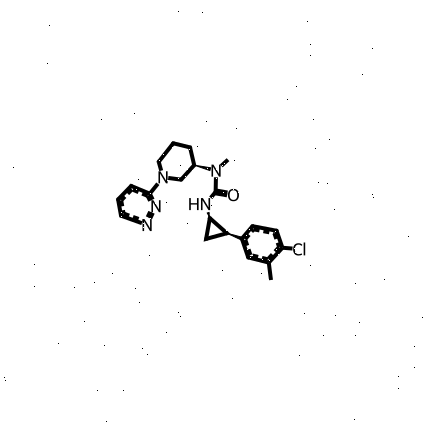 Cc1cc([C@H]2C[C@@H]2NC(=O)N(C)[C@@H]2CCCN(c3cccnn3)C2)ccc1Cl